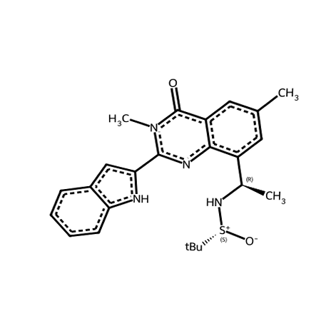 Cc1cc([C@@H](C)N[S@+]([O-])C(C)(C)C)c2nc(-c3cc4ccccc4[nH]3)n(C)c(=O)c2c1